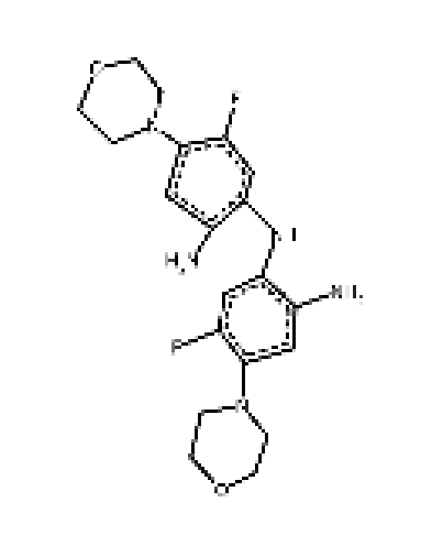 Nc1cc(N2CCOCC2)c(F)cc1Nc1cc(F)c(N2CCOCC2)cc1N